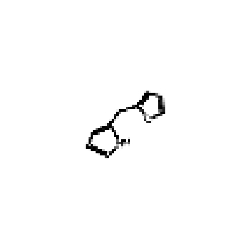 c1c[nH]c(Cc2ccco2)c1